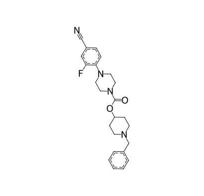 N#Cc1ccc(N2CCN(C(=O)OC3CCN(Cc4ccccc4)CC3)CC2)c(F)c1